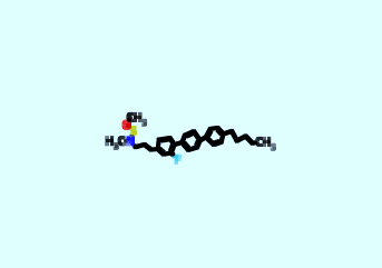 CCCCCc1ccc(-c2ccc(-c3ccc(CCCN(C)SOC)cc3F)cc2)cc1